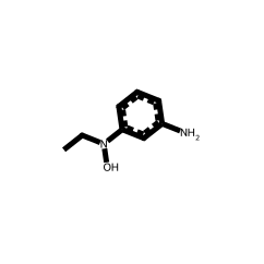 CCN(O)c1cccc(N)c1